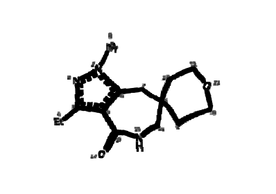 [CH2]CCn1nc(CC)c2c1CC1(CCOCC1)CNC2=O